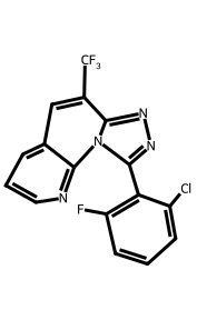 Fc1cccc(Cl)c1-c1nnc2c(C(F)(F)F)cc3cccnc3n12